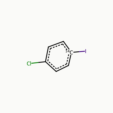 Clc1cc[14c](I)cc1